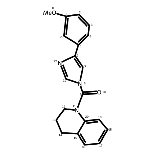 COc1cccc(-c2cn(C(=O)N3CCCc4ccccc43)cn2)c1